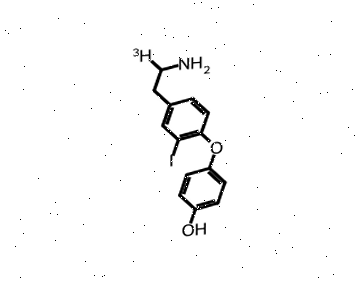 [3H]C(N)Cc1ccc(Oc2ccc(O)cc2)c(I)c1